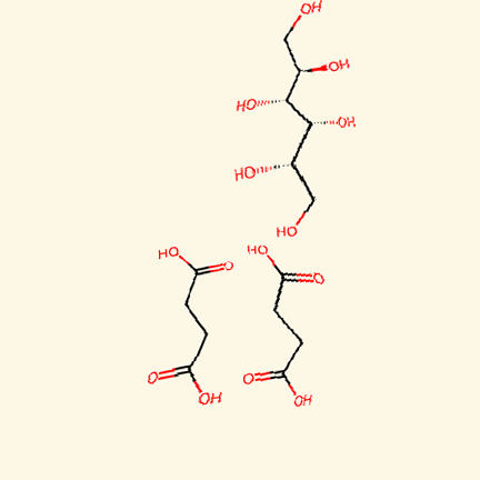 O=C(O)CCC(=O)O.O=C(O)CCC(=O)O.OC[C@@H](O)[C@@H](O)[C@H](O)[C@@H](O)CO